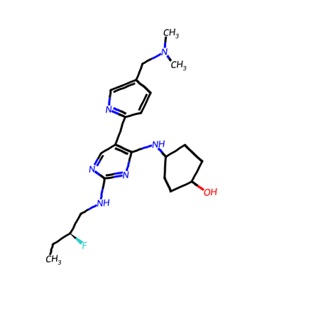 CC[C@H](F)CNc1ncc(-c2ccc(CN(C)C)cn2)c(NC2CCC(O)CC2)n1